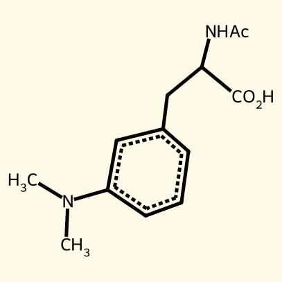 CC(=O)NC(Cc1cccc(N(C)C)c1)C(=O)O